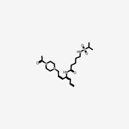 C=C/C=C(\C=C/CN1CCN(C(C)=O)CC1)NC(=O)CCCCNS(=O)(=O)C(C)C